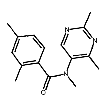 Cc1ccc(C(=O)N(C)c2cnc(C)nc2C)c(C)c1